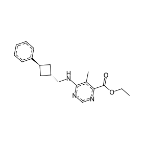 CCOC(=O)c1ncnc(NC[C@H]2C[C@H](c3ccccc3)C2)c1C